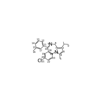 CCc1cc(C)n2c1CN=C(c1cccc(C)c1)c1cc(Cl)ccc1-2